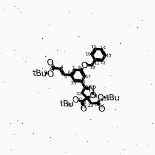 CC(C)(C)OC(=O)C=Cc1cc(OCc2ccccc2)cc(C2=NOC(CC(=O)OC(C)(C)C)(C(=O)OC(C)(C)C)C2)c1